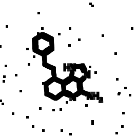 Nc1nc2c(c3[nH]cnc13)C(CCc1ccccc1)CCC2